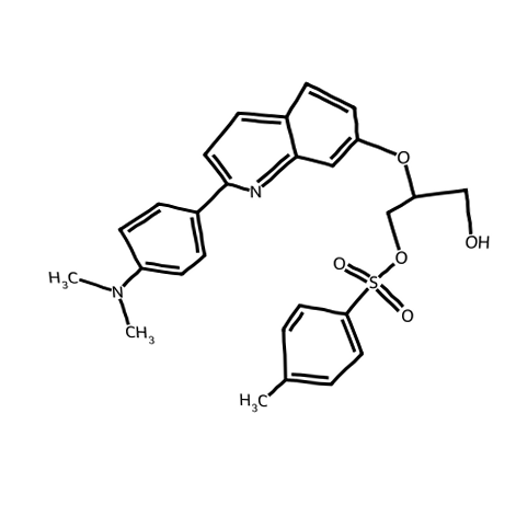 Cc1ccc(S(=O)(=O)OCC(CO)Oc2ccc3ccc(-c4ccc(N(C)C)cc4)nc3c2)cc1